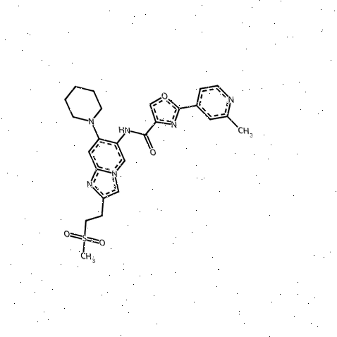 Cc1cc(-c2nc(C(=O)Nc3cn4cc(CCS(C)(=O)=O)nc4cc3N3CCCCC3)co2)ccn1